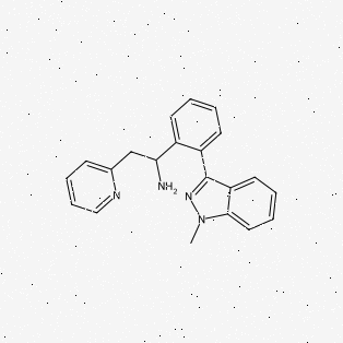 Cn1nc(-c2ccccc2C(N)Cc2ccccn2)c2ccccc21